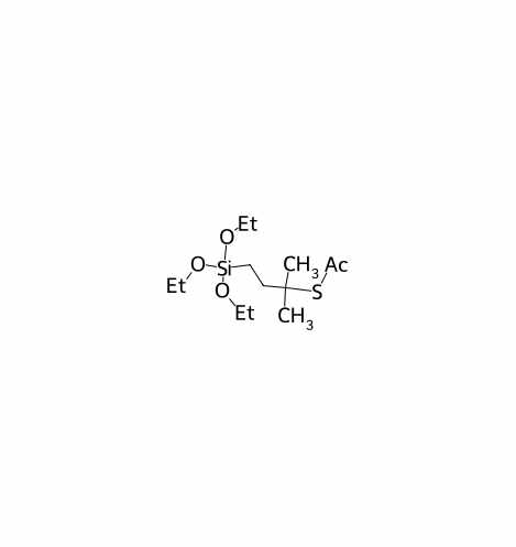 CCO[Si](CCC(C)(C)SC(C)=O)(OCC)OCC